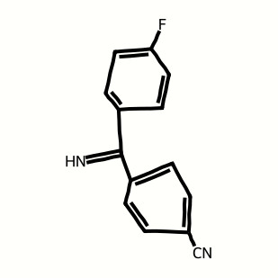 N#Cc1ccc(C(=N)c2ccc(F)cc2)cc1